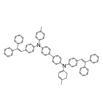 CC1=CC=C(N(c2ccc(C=C(c3ccccc3)c3ccccc3)cc2)c2ccc(-c3ccc(N(c4ccc(C)cc4)c4ccc(C=C(c5ccccc5)c5ccccc5)cc4)cc3)cc2)CC1